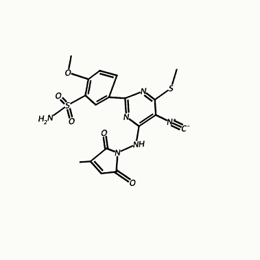 [C-]#[N+]c1c(NN2C(=O)C=C(C)C2=O)nc(-c2ccc(OC)c(S(N)(=O)=O)c2)nc1SC